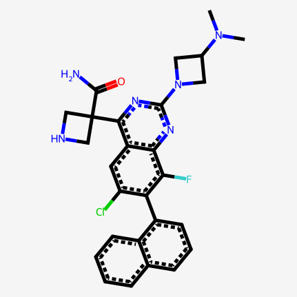 CN(C)C1CN(c2nc(C3(C(N)=O)CNC3)c3cc(Cl)c(-c4cccc5ccccc45)c(F)c3n2)C1